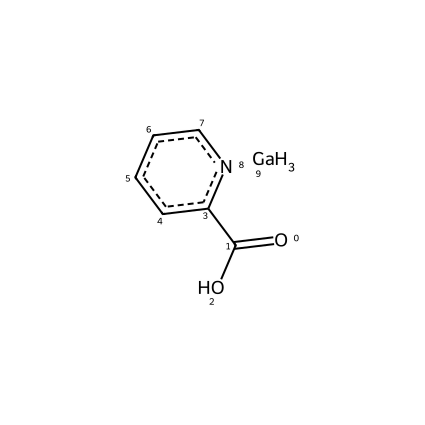 O=C(O)c1ccccn1.[GaH3]